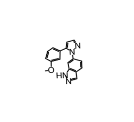 COc1cccc(-c2ccnn2-c2ccc3cn[nH]c3c2)c1